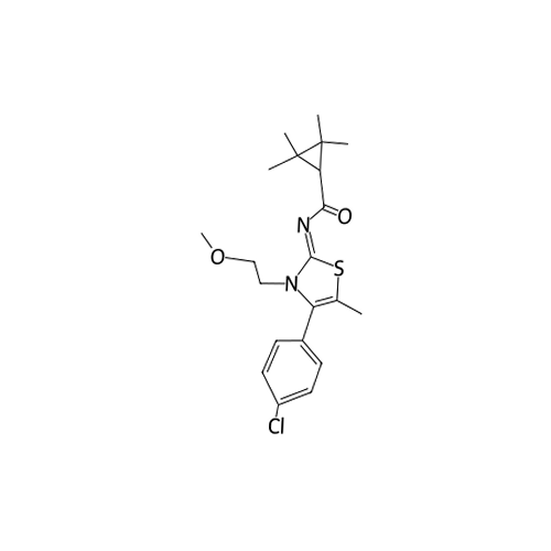 COCCn1c(-c2ccc(Cl)cc2)c(C)sc1=NC(=O)C1C(C)(C)C1(C)C